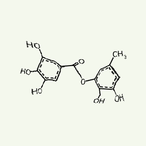 Cc1cc(O)c(O)c(OC(=O)c2cc(O)c(O)c(O)c2)c1